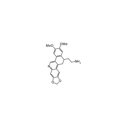 COc1cc2c(cc1OC)C(CCN)Cc1c-2cnc2cc3c(cc12)OCO3